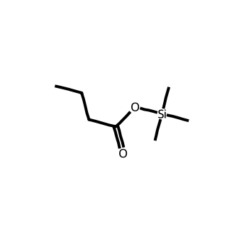 CCCC(=O)O[Si](C)(C)C